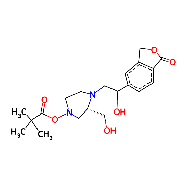 CC(C)(C)C(=O)ON1CCN(CC(O)c2ccc3c(c2)COC3=O)[C@H](CO)C1